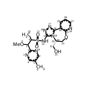 COC(c1ncc(C)cn1)C(C)S(=O)(=O)Nc1nnc2n1[C@@H](CO)COc1ncccc1-2